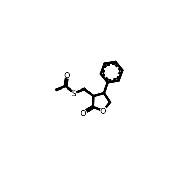 CC(=O)SCC1C(=O)OCC1c1ccccc1